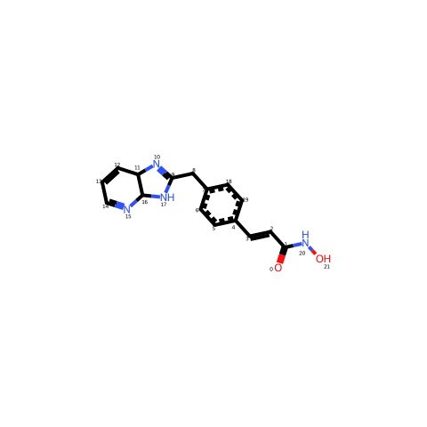 O=C(/C=C/c1ccc(CC2=NC3C=CC=NC3N2)cc1)NO